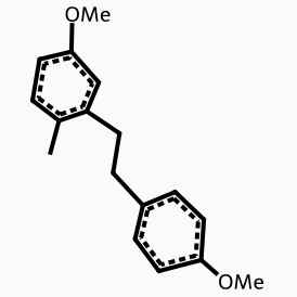 COc1ccc(CCc2cc(OC)ccc2C)cc1